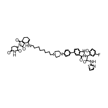 O=C1CC[C@H](N2C(=O)C3=C(C2=O)C(NCCCCCCCCN2CCN(c4ccc(-c5ccc6c(c5)C(=O)N(C(C(=O)Nc5nccs5)c5cc(F)ccc5O)C6)cc4)CC2)=CCC3)C(=O)N1